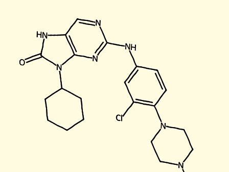 CN1CCN(c2ccc(Nc3ncc4[nH]c(=O)n(C5CCCCC5)c4n3)cc2Cl)CC1